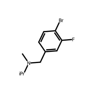 CC(C)N(C)Cc1ccc(Br)c(F)c1